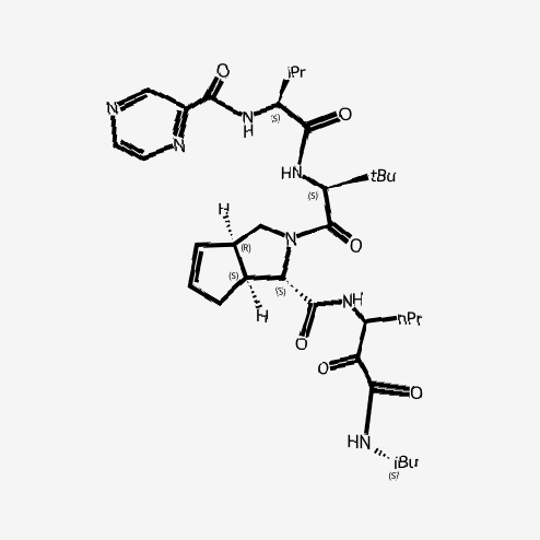 CCCC(NC(=O)[C@@H]1[C@H]2CC=C[C@H]2CN1C(=O)[C@@H](NC(=O)[C@@H](NC(=O)c1cnccn1)C(C)C)C(C)(C)C)C(=O)C(=O)N[C@@H](C)CC